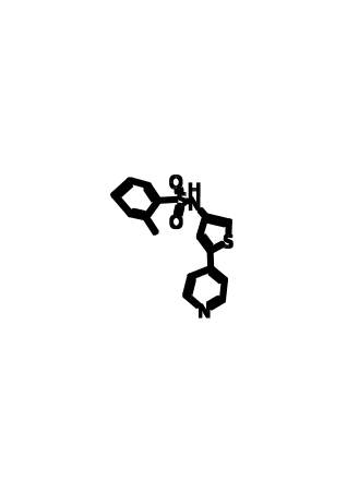 Cc1ccccc1S(=O)(=O)Nc1csc(-c2ccncc2)c1